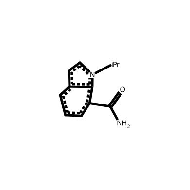 CC(C)n1ccc2cccc(C(N)=O)c21